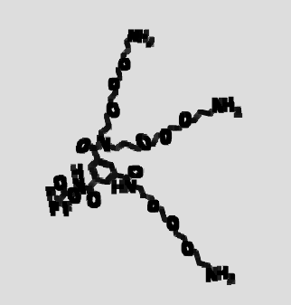 NCCCOCCOCCOCCCNC(=O)c1cc(C(=O)NOC(=O)C(F)(F)F)cc(C(=O)N(CCCOCCOCCOCCCN)CCCOCCOCCOCCCN)c1